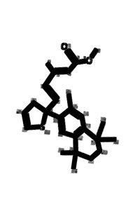 COC(=O)C=C(C)C=CC1(c2cc3c(cc2C)C(C)(C)CCC3(C)C)CC=CS1